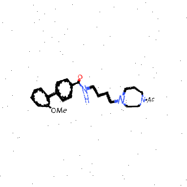 COc1ccccc1-c1ccc(C(=O)NCCCCN2CCCN(C(C)=O)CC2)cc1